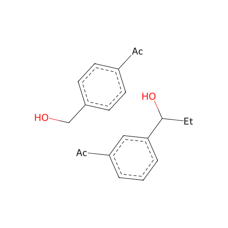 CC(=O)c1ccc(CO)cc1.CCC(O)c1cccc(C(C)=O)c1